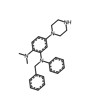 CN(C)c1ccc(N2CCNCC2)cc1N(Cc1ccccc1)c1ccccc1